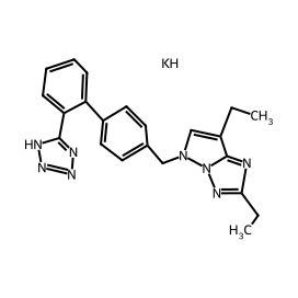 CCc1nc2c(CC)cn(Cc3ccc(-c4ccccc4-c4nnn[nH]4)cc3)n2n1.[KH]